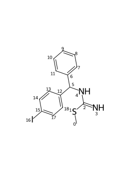 CSC(=N)NC(c1ccccc1)c1ccc(I)cc1